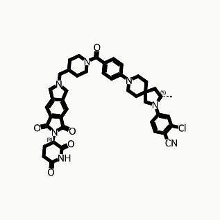 C[C@H]1CC2(CCN(c3ccc(C(=O)N4CCC(CN5Cc6cc7c(cc6C5)C(=O)N([C@@H]5CCC(=O)NC5=O)C7=O)CC4)cc3)CC2)CN1c1ccc(C#N)c(Cl)c1